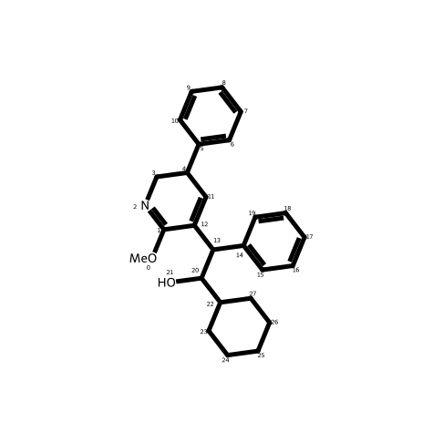 COC1=NCC(c2ccccc2)C=C1C(c1ccccc1)C(O)C1CCCCC1